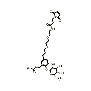 CC(C)C(=O)OCc1cc(CCCOCCOCCNC(=O)CCN2C(=O)C=CC2=O)ccc1O[C@@H]1O[C@H](C(=O)O)[C@@H](O)[C@H](O)[C@H]1O